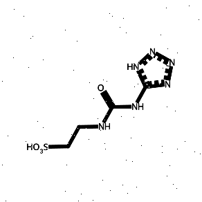 O=C(NCCS(=O)(=O)O)Nc1nnn[nH]1